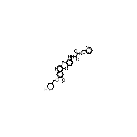 COc1cc2c(Oc3ccc(NC(=O)C(=O)NCc4ccccn4)cc3F)ccnc2cc1OCC1CCNCC1